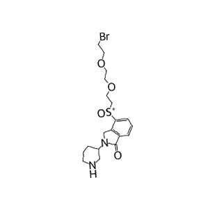 O=C1c2cccc([S+]([O-])CCOCCOCCBr)c2CN1C1CCCNC1